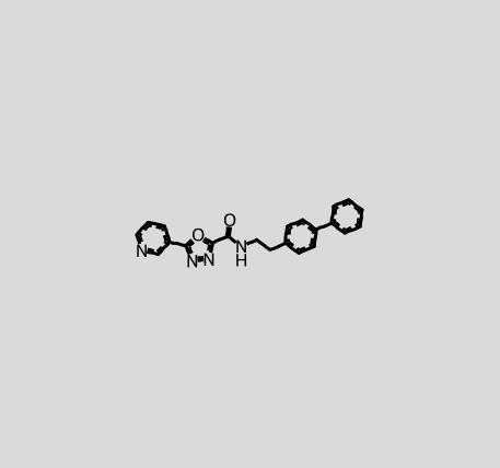 O=C(NCCc1ccc(-c2ccccc2)cc1)c1nnc(-c2cccnc2)o1